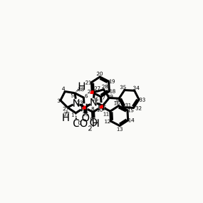 O=C(O)[C@@H]1[C@H]2CC[C@@H](CN1C(=O)N(c1ccccc1)c1ccccc1)N2C(=O)N1CCC(C2=CC=CCC2)C1